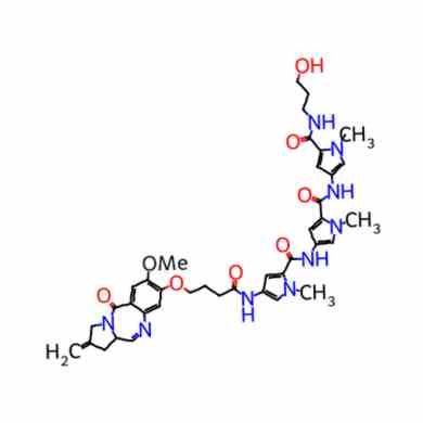 C=C1CC2C=Nc3cc(OCCCC(=O)Nc4cc(C(=O)Nc5cc(C(=O)Nc6cc(C(=O)NCCCO)n(C)c6)n(C)c5)n(C)c4)c(OC)cc3C(=O)N2C1